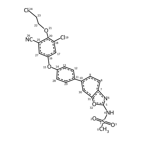 CS(=O)(=O)Nc1nc2ccc(-c3ccc(Oc4cc(Cl)c(OCCCl)c(C#N)c4)cc3)cc2o1